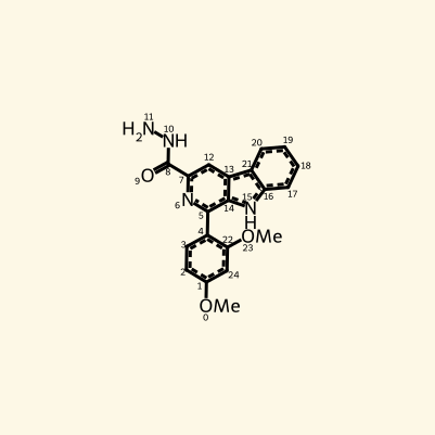 COc1ccc(-c2nc(C(=O)NN)cc3c2[nH]c2ccccc23)c(OC)c1